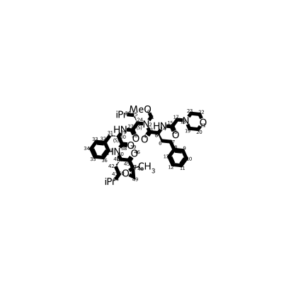 COCN(C(=O)[C@H](CCc1ccccc1)NC(=O)CN1CCOCC1)[C@@H](CC(C)C)C(=O)N[C@@H](Cc1ccccc1)C(=O)N[C@@H](CCC(C)C)C(=O)[C@@]1(C)CO1